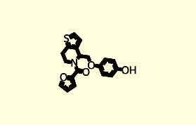 O=C(c1ccco1)N1CCc2sccc2C1COc1ccc(O)cc1